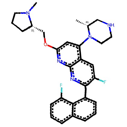 C[C@@H]1CNCCN1c1cc(OC[C@@H]2CCCN2C)nc2nc(-c3cccc4cccc(F)c34)c(F)cc12